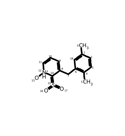 Cc1ccc(C)c(CC2=CC=C[NH+]([O-])C2=S(=O)=O)c1